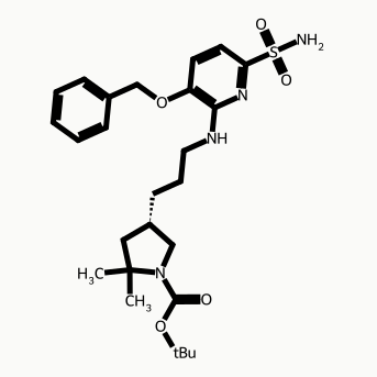 CC(C)(C)OC(=O)N1C[C@@H](CCCNc2nc(S(N)(=O)=O)ccc2OCc2ccccc2)CC1(C)C